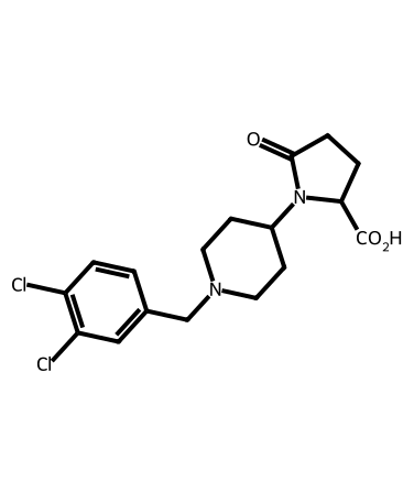 O=C(O)C1CCC(=O)N1C1CCN(Cc2ccc(Cl)c(Cl)c2)CC1